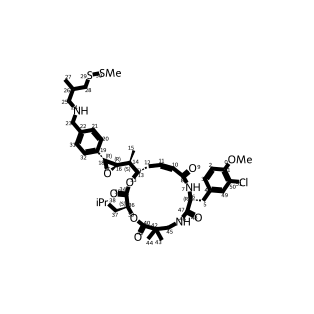 COc1ccc(C[C@H]2NC(=O)C=CC[C@@H]([C@H](C)[C@H]3O[C@@H]3c3ccc(CNCC(C)CSSC)cc3)OC(=O)[C@H](CC(C)C)OC(=O)C(C)(C)CNC2=O)cc1Cl